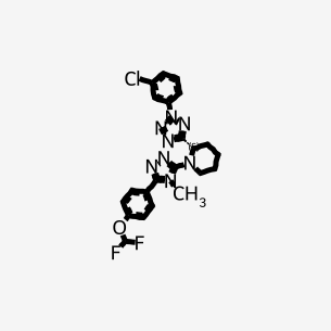 Cn1c(-c2ccc(OC(F)F)cc2)nnc1N1CCCC[C@H]1c1nnn(-c2cccc(Cl)c2)n1